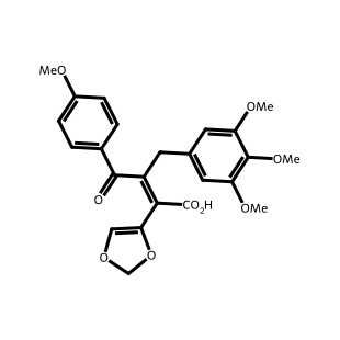 COc1ccc(C(=O)C(Cc2cc(OC)c(OC)c(OC)c2)=C(C(=O)O)C2=COCO2)cc1